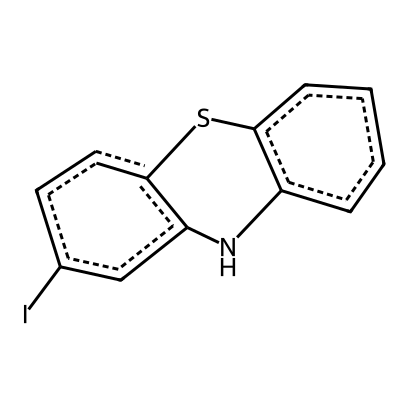 Ic1ccc2c(c1)Nc1ccccc1S2